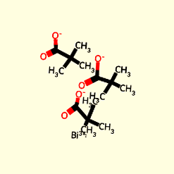 CC(C)(C)C(=O)[O-].CC(C)(C)C(=O)[O-].CC(C)(C)C(=O)[O-].[Bi+3]